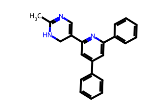 CC1=NC=C(c2cc(-c3ccccc3)cc(-c3ccccc3)n2)CN1